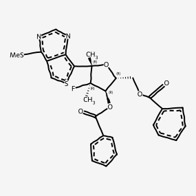 CSc1ncnc2c([C@]3(C)O[C@H](COC(=O)c4ccccc4)[C@@H](OC(=O)c4ccccc4)[C@@]3(C)F)scc12